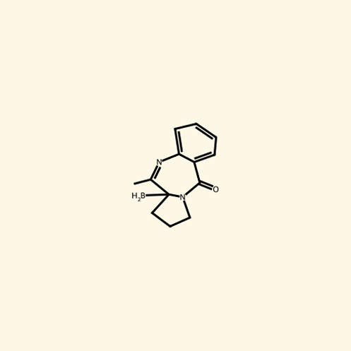 BC12CCCN1C(=O)c1ccccc1N=C2C